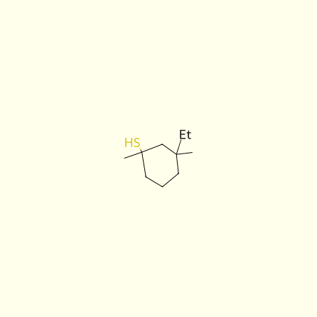 CCC1(C)CCCC(C)(S)C1